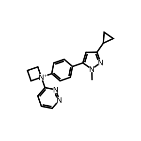 Cn1nc(C2CC2)cc1-c1ccc([N+]2(c3cccnn3)CCC2)cc1